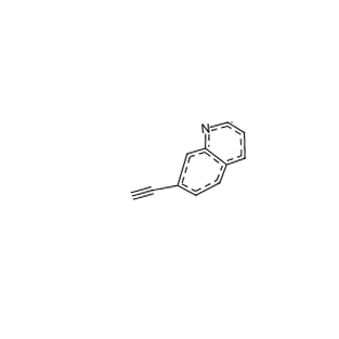 C#Cc1ccc2cc[c]nc2c1